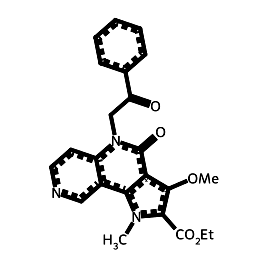 CCOC(=O)c1c(OC)c2c(=O)n(CC(=O)c3ccccc3)c3ccncc3c2n1C